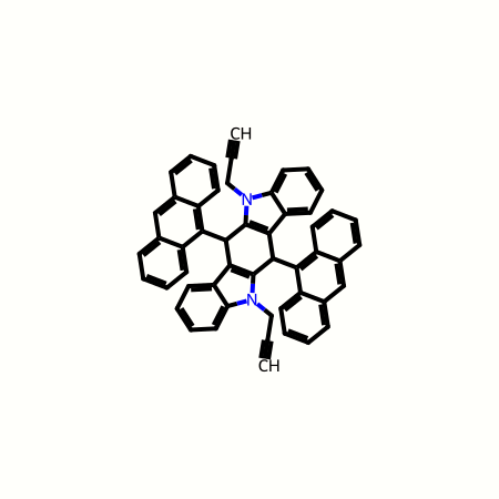 C#CCn1c2c(c3ccccc31)C(c1c3ccccc3cc3ccccc13)c1c(c3ccccc3n1CC#C)C2c1c2ccccc2cc2ccccc12